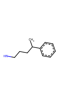 CC(CCC[NH])c1ccccc1